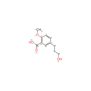 COc1ccc(CCCO)cc1C(=O)O